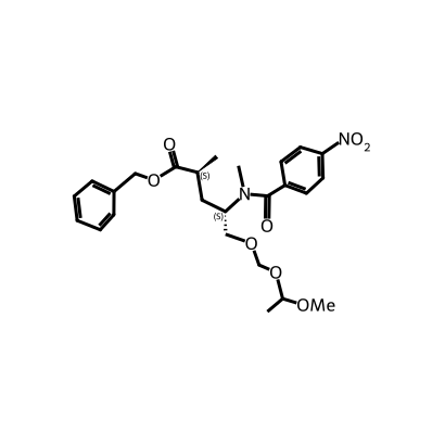 COC(C)OCOC[C@H](C[C@H](C)C(=O)OCc1ccccc1)N(C)C(=O)c1ccc([N+](=O)[O-])cc1